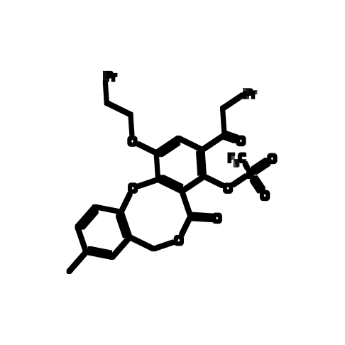 Cc1ccc2c(c1)COC(=O)c1c(c(OCCC(C)C)cc(C(=O)CC(C)C)c1OS(=O)(=O)C(F)(F)F)O2